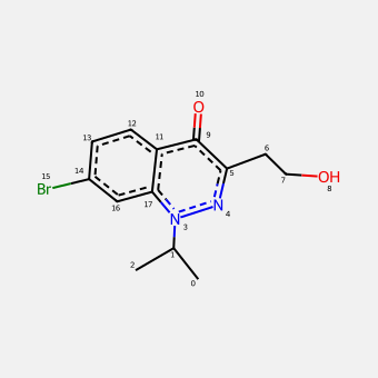 CC(C)n1nc(CCO)c(=O)c2ccc(Br)cc21